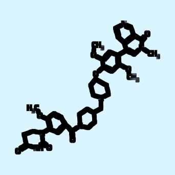 COc1cc(-c2cn(C)c(=O)c3cnccc23)c(OC)cc1OC1CCN(CC2CCN(C(=O)c3ccc(OC)c(N4CCC(=O)NC4=O)c3)CC2)CC1